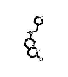 O=c1ccc2ccc(NCc3ccoc3)cc2o1